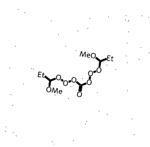 CCC(OC)OOOC(=O)OOOC(CC)OC